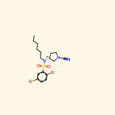 CCCCCCN([C@@H]1CCN(C#N)C1)S(=O)(=O)c1cc(Br)ccc1Br